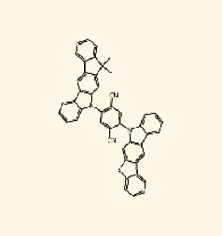 CC1(C)c2ccccc2-c2cc3c4ccccc4n(-c4cc(C#N)c(-n5c6ccccc6c6cc7c(cc65)sc5ccccc57)cc4C#N)c3cc21